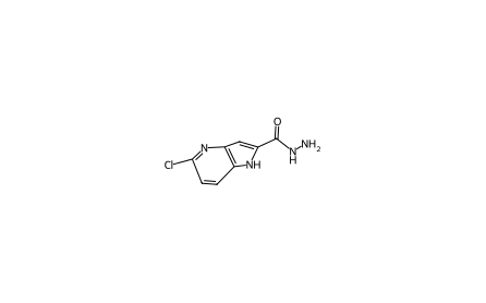 NNC(=O)c1cc2nc(Cl)ccc2[nH]1